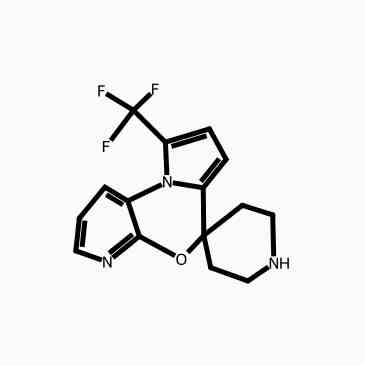 FC(F)(F)c1ccc2n1-c1cccnc1OC21CCNCC1